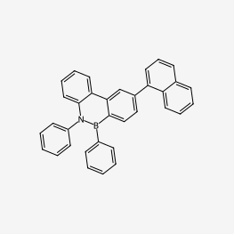 c1ccc(B2c3ccc(-c4cccc5ccccc45)cc3-c3ccccc3N2c2ccccc2)cc1